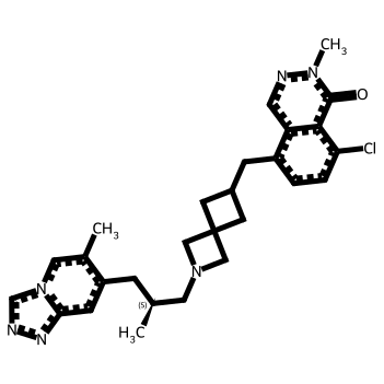 Cc1cn2cnnc2cc1C[C@H](C)CN1CC2(CC(Cc3ccc(Cl)c4c(=O)n(C)ncc34)C2)C1